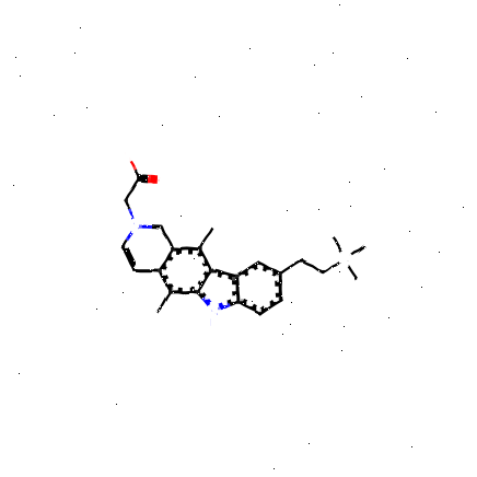 Cc1c2c(c(C)c3c1[nH]c1ccc(CC[Si](C)(C)C)cc13)CN(CC(=O)O)C=C2